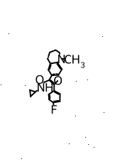 CN1CCCCc2cc3c(C(=O)NC4CC4)c(-c4ccc(F)cc4)oc3cc21